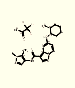 Cn1ncc(NC(=O)c2cnn3ccc(N[C@@H]4CCCC[C@@H]4N)nc23)c1C(F)(F)F.O=C(O)C(F)(F)F